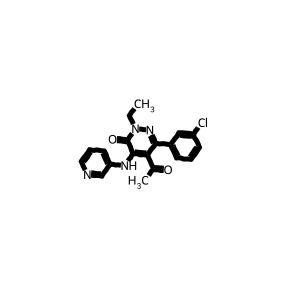 CCn1nc(-c2cccc(Cl)c2)c(C(C)=O)c(Nc2cccnc2)c1=O